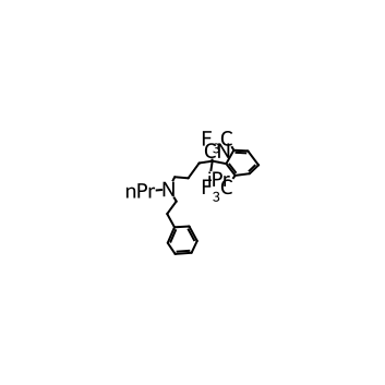 CCCN(CCCC(C#N)(c1c(C(F)(F)F)cccc1C(F)(F)F)C(C)C)CCc1ccccc1